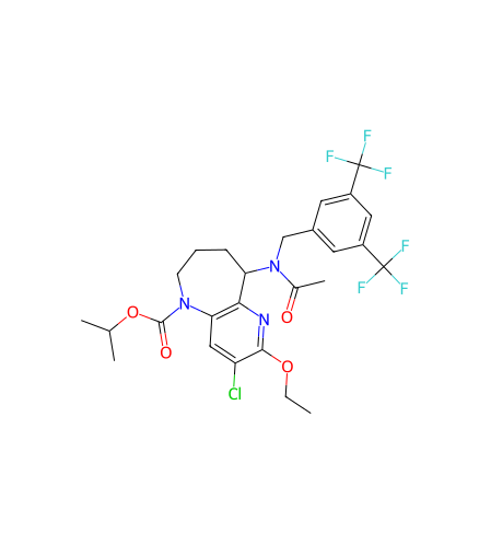 CCOc1nc2c(cc1Cl)N(C(=O)OC(C)C)CCCC2N(Cc1cc(C(F)(F)F)cc(C(F)(F)F)c1)C(C)=O